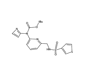 CC(C)(C)OC(=O)N(C1=NC=C1)c1cccc(CNS(=O)(=O)c2ccsc2)n1